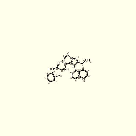 CCc1sc2ncnc(N[C@H](Cc3ccccc3)C(=O)O)c2c1-c1cccc2ncccc12